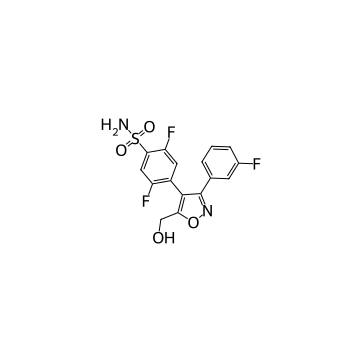 NS(=O)(=O)c1cc(F)c(-c2c(-c3cccc(F)c3)noc2CO)cc1F